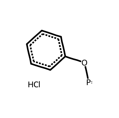 Cl.[P]Oc1ccccc1